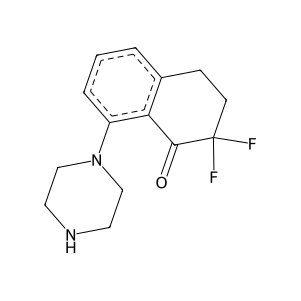 O=C1c2c(cccc2N2CCNCC2)CCC1(F)F